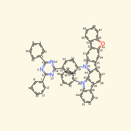 c1ccc(-c2nc(-c3ccccc3)nc(-c3ccc(-n4c5cc6c(cc5c5ccc7c8ccccc8n(-c8ccccc8)c7c54)oc4ccccc46)cc3)n2)cc1